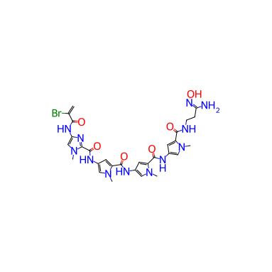 C=C(Br)C(=O)Nc1cn(C)c(C(=O)Nc2cc(C(=O)Nc3cc(C(=O)Nc4cc(C(=O)NCCC(N)=NO)n(C)c4)n(C)c3)n(C)c2)n1